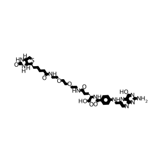 Nc1nc(O)c2nc(CNc3ccc(C(=O)N[C@@H](CCC(=O)NCCOCCOCCNC(=O)CCCC[C@@H]4SC[C@@H]5NC(=O)N[C@@H]54)C(=O)O)cc3)cnc2n1